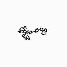 c1ccc2c(c1)-c1ccc(-c3ccc(-c4ccc(-c5nc(-c6cccc7oc8ccccc8c67)nc(-c6cccc7oc8ccccc8c67)n5)cc4)cc3)cc1C21CCCCC1